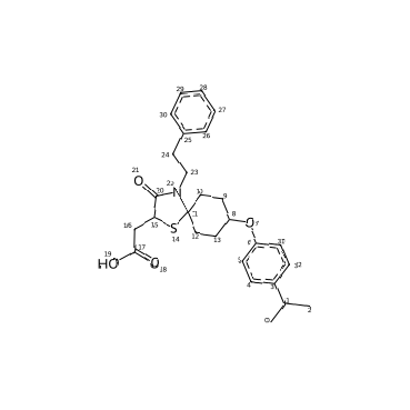 CC(C)c1ccc(OC2CCC3(CC2)SC(CC(=O)O)C(=O)N3CCc2ccccc2)cc1